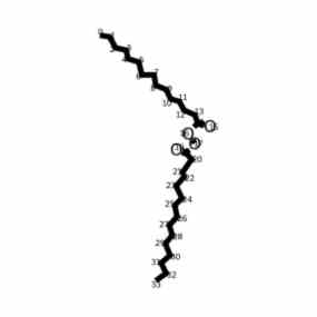 CCCCCCCCCCCCCCC(=O)OOC(=O)CCCCCCCCCCCCCC